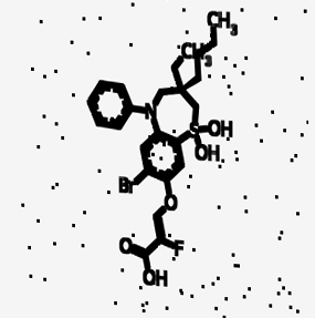 CCCC[C@]1(CC)CN(c2ccccc2)c2cc(Br)c(O/C=C(\F)C(=O)O)cc2S(O)(O)C1